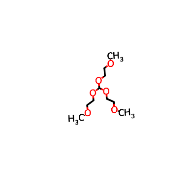 COCCOC(OCCOC)OCCOC